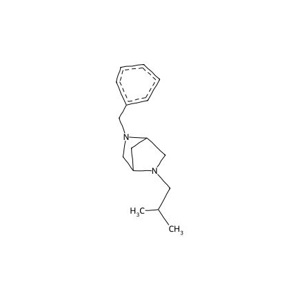 CC(C)CN1CC2CC1CN2Cc1ccccc1